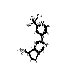 NC1CCc2cnc(-c3ccnc(C(F)(F)F)c3)nc21